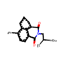 CCCCC(CC)CN1C(=O)c2cccc3c(C(C)C)ccc(c23)C1=O